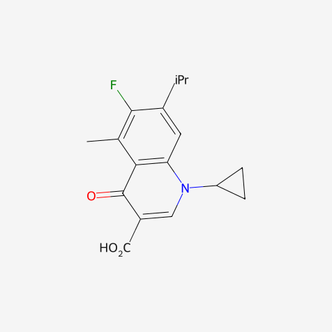 Cc1c(F)c(C(C)C)cc2c1c(=O)c(C(=O)O)cn2C1CC1